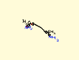 CCC(c1ccc(N)cc1)c1ccc(CCCCCCCCCCCCc2ccc(C(CC)c3ccc(N)cc3)cc2)cc1